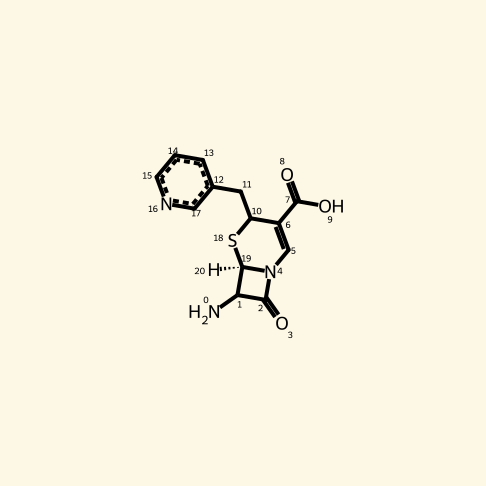 NC1C(=O)N2C=C(C(=O)O)C(Cc3cccnc3)S[C@H]12